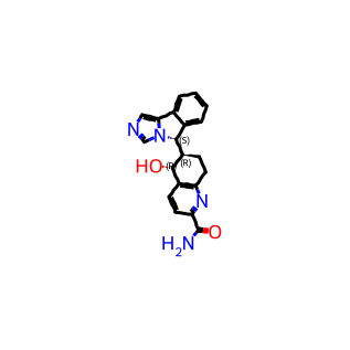 NC(=O)c1ccc2c(n1)CC[C@H]([C@H]1c3ccccc3-c3cncn31)[C@H]2O